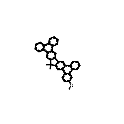 COc1ccc2c(c1)c1ccccc1c1cc3c(cc21)C(C)(C)c1cc2c4ccccc4c4ccccc4c2cc1-3